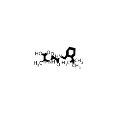 C[C@H](NC(=O)C(=O)NCc1ccccc1C(C)(C)C)C(=O)O